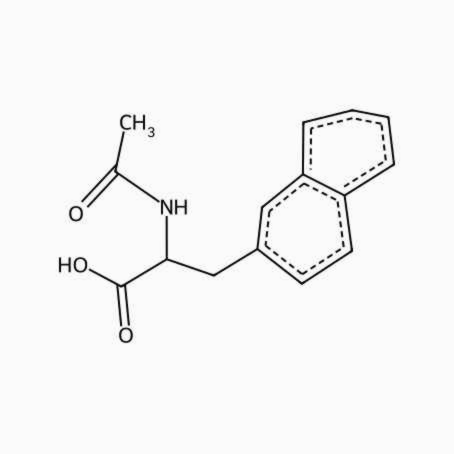 CC(=O)NC(Cc1ccc2ccccc2c1)C(=O)O